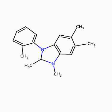 Cc1cc2c(cc1C)N(c1ccccc1C)C(C)N2C